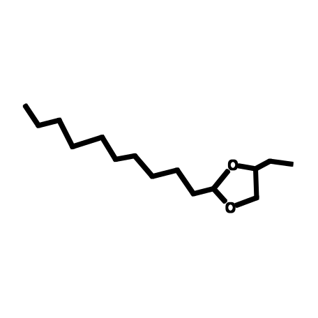 CCCCCCCCCCC1OCC(CC)O1